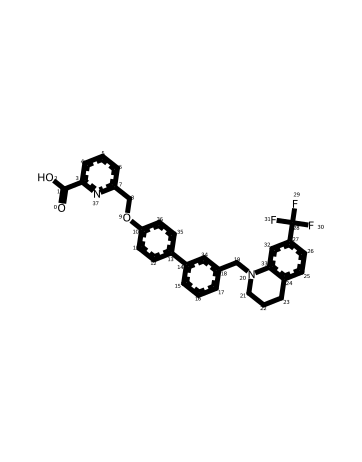 O=C(O)c1cccc(COc2ccc(-c3cccc(CN4CCCc5ccc(C(F)(F)F)cc54)c3)cc2)n1